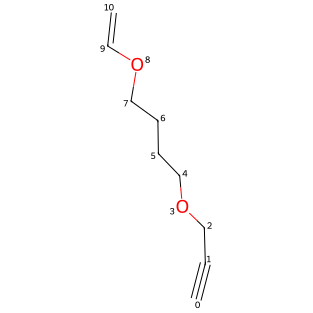 C#CCOCCCCOC=C